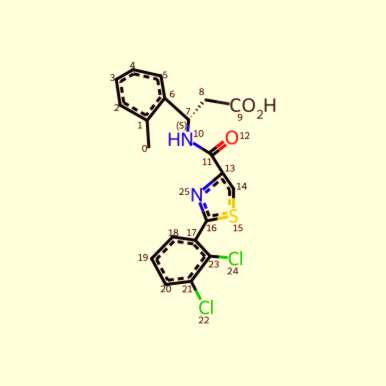 Cc1ccccc1[C@H](CC(=O)O)NC(=O)c1csc(-c2cccc(Cl)c2Cl)n1